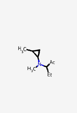 CCC(C(C)=O)N(C)C1CC1C